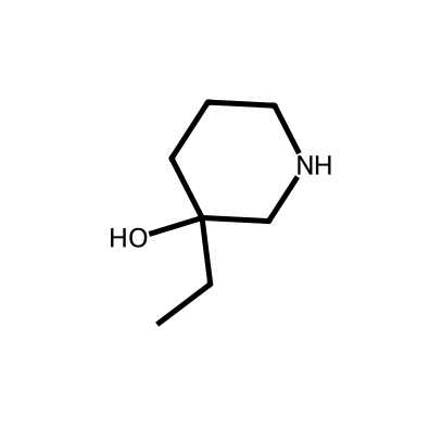 CCC1(O)CCCNC1